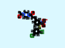 CC(=O)N1CCN(C(=O)C=Cc2ccc(Sc3ccc(Cl)cc3Cl)c([N+](=O)[O-])c2)CC1